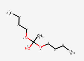 CCCCOC(C)(O)OCCCC